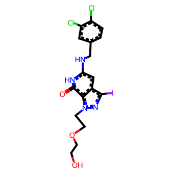 O=c1[nH]c(NCc2ccc(Cl)c(Cl)c2)cc2c(I)nn(CCOCCO)c12